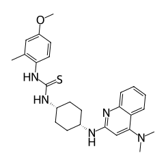 COc1ccc(NC(=S)N[C@H]2CC[C@@H](Nc3cc(N(C)C)c4ccccc4n3)CC2)c(C)c1